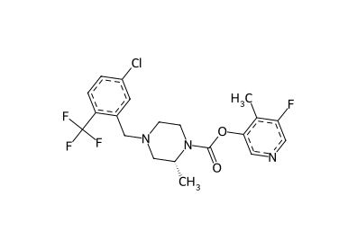 Cc1c(F)cncc1OC(=O)N1CCN(Cc2cc(Cl)ccc2C(F)(F)F)C[C@H]1C